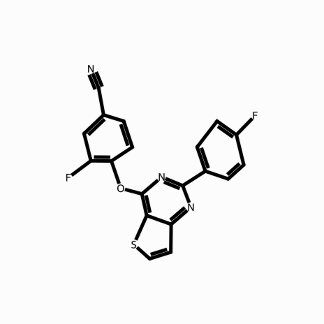 N#Cc1ccc(Oc2nc(-c3ccc(F)cc3)nc3ccsc23)c(F)c1